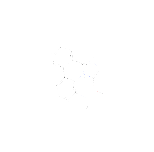 CB1c2cnc3c4ccccc4c4cccc(c4n23)N1C